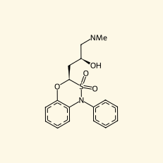 CNC[C@@H](O)C[C@@H]1Oc2ccccc2N(c2ccccc2)S1(=O)=O